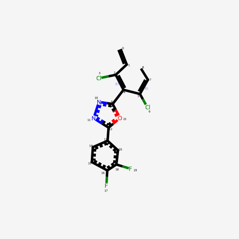 C=C/C(Cl)=C(\C(Cl)=C/C)c1nnc(-c2ccc(F)c(F)c2)o1